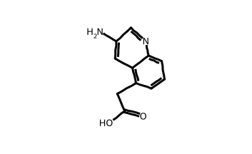 Nc1cnc2cccc(CC(=O)O)c2c1